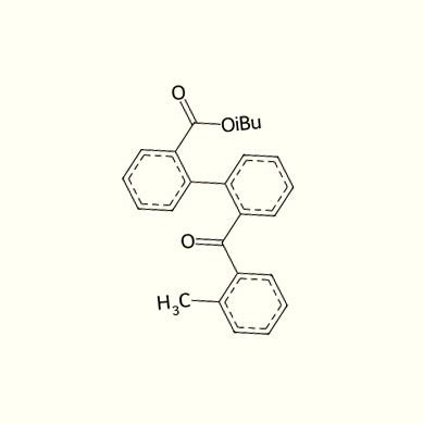 Cc1ccccc1C(=O)c1ccccc1-c1ccccc1C(=O)OCC(C)C